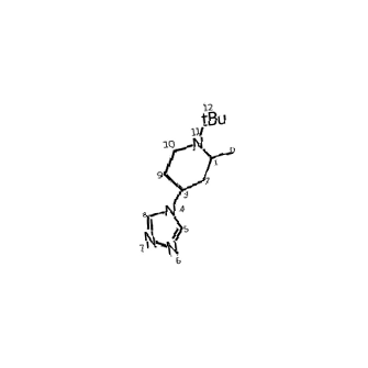 CC1CC(n2cnnc2)CCN1C(C)(C)C